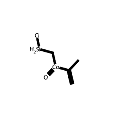 C=[C](C)[Co](=[O])[CH2][SiH2]Cl